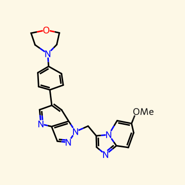 COc1ccc2ncc(Cn3ncc4ncc(-c5ccc(N6CCOCC6)cc5)cc43)n2c1